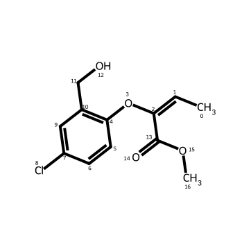 CC=C(Oc1ccc(Cl)cc1CO)C(=O)OC